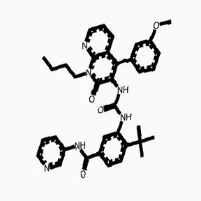 CCCCn1c(=O)c(NC(=O)Nc2cc(C(=O)Nc3cccnc3)ccc2C(C)(C)C)c(-c2cccc(OC)c2)c2cccnc21